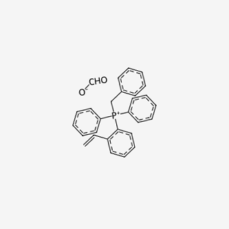 C=Cc1ccccc1[P+](Cc1ccccc1)(c1ccccc1)c1ccccc1.O=C[O-]